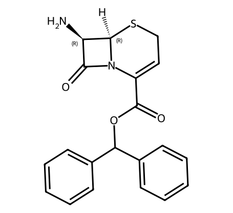 N[C@@H]1C(=O)N2C(C(=O)OC(c3ccccc3)c3ccccc3)=CCS[C@H]12